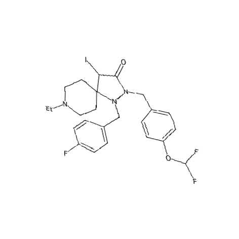 CCN1CCC2(CC1)C(I)C(=O)N(Cc1ccc(OC(F)F)cc1)N2Cc1ccc(F)cc1